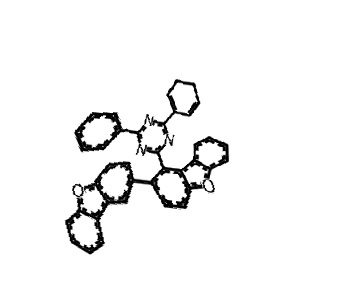 C1=CC(c2nc(-c3ccccc3)nc(-c3c(-c4ccc5oc6ccccc6c5c4)ccc4oc5ccccc5c34)n2)=CCC1